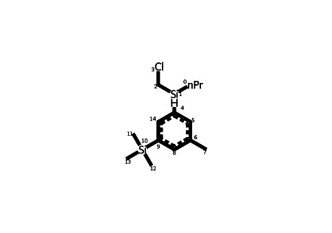 CCC[SiH](CCl)c1cc(C)cc([Si](C)(C)C)c1